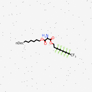 CCCCCCCCCCCCCCCCOC(=O)C(N)C(=O)OCCC(F)(F)C(F)(F)C(F)(F)C(F)(F)C(F)(F)C(F)(F)F